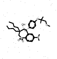 CCCCC1(CCCC)CS(=O)(=O)c2ccc(N(C)C)cc2[C@@H](c2ccc(OC(C)(C)COC)cc2)[C@H]1O